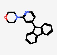 [c]1cccc2c1C(c1ccnc(N3CCOCC3)c1)c1ccccc1-2